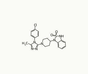 Cc1nnc(N2CCC(N3c4ccccc4NS3(=O)=O)CC2)n1-c1ccc(Cl)cc1